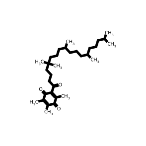 CC1=C(C)C(=O)C(C(=O)CCCC(C)(C)CCCC(C)CCCC(C)CCCC(C)C)=C(C)C1=O